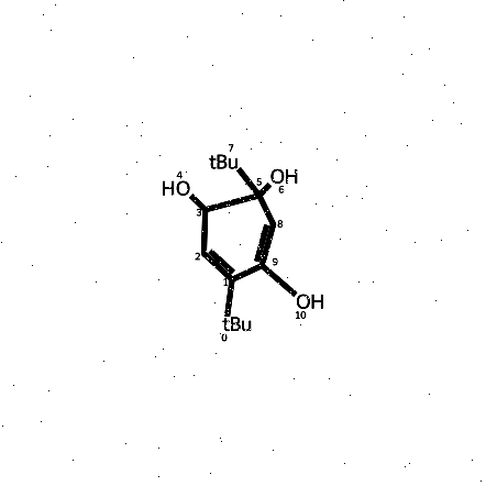 CC(C)(C)C1=CC(O)C(O)(C(C)(C)C)C=C1O